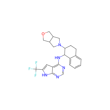 FC(F)(F)c1cc2c(NC3c4ccccc4CCC3N3CC4COCC4C3)ncnc2[nH]1